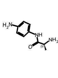 C[C@H](N)C(=O)Nc1ccc(N)cc1